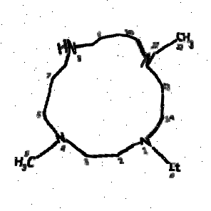 CCN1CCN(C)CCNCCN(C)CC1